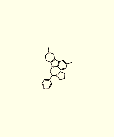 Cc1ccc2c(c1)c1c(n2CC(c2ccncc2)N2CCCC2)CCN(C)C1